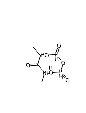 CCC(=O)NC.O=[PH](O)O[PH](=O)O